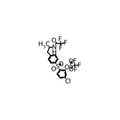 C[C@H](Cc1ccc(S(=O)(=O)c2ccc(Cl)cc2OS(=O)(=O)C(F)(F)F)cc1)NC(=O)C(F)(F)F